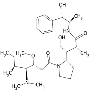 CC[C@H](C)[C@@H]([C@@H](CC(=O)N1CCC[C@H]1[C@H](CO)[C@@H](C)C(=O)N[C@H](C)[C@@H](O)c1ccccc1)OC)N(C)C